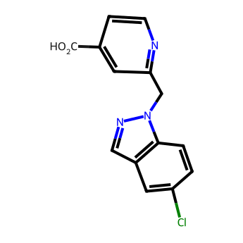 O=C(O)c1ccnc(Cn2ncc3cc(Cl)ccc32)c1